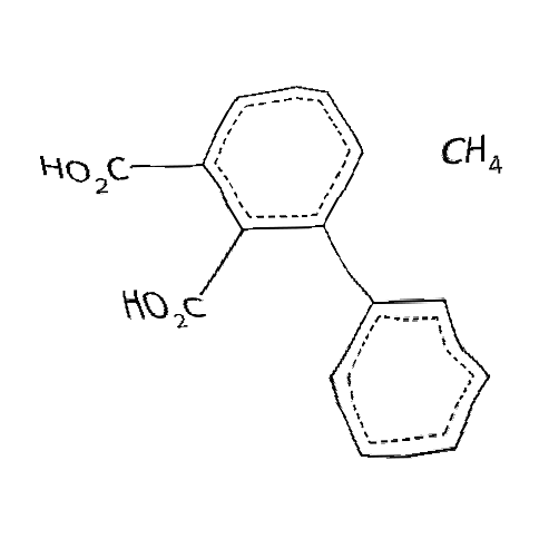 C.O=C(O)c1cccc(-c2ccccc2)c1C(=O)O